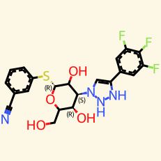 N#Cc1cccc(S[C@H]2OC(CO)[C@H](O)[C@H](N3C=C(c4cc(F)c(F)c(F)c4)NN3)C2O)c1